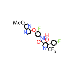 COc1cnc2c(Oc3ccc(NC(=O)c4cnc(C(F)(F)F)c(-c5ccc(F)cc5)c4O)cc3F)ccnc2c1